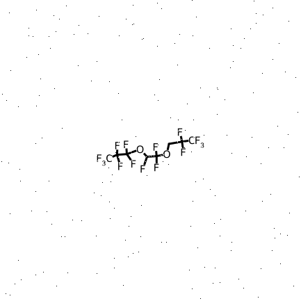 FC(OC(F)(F)C(F)(F)C(F)(F)F)C(F)(F)OCC(F)(F)C(F)(F)F